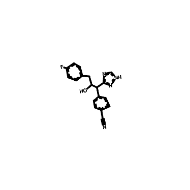 N#Cc1ccc(C(c2nc[nH]n2)C(O)Cc2ccc(F)cc2)cc1